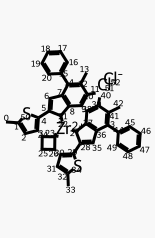 Cc1ccc(C2=Cc3c(cc(C)c(C)c3-c3ccccc3)[CH]2[Zr+2](=[C]2CCC2)[CH]2C(c3ccc(C)s3)=Cc3c2cc(C)c(C)c3-c2ccccc2)s1.[Cl-].[Cl-]